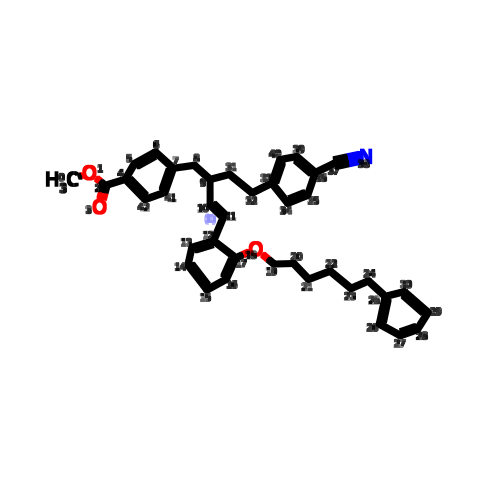 COC(=O)c1ccc(CC(/C=C/c2ccccc2OCCCCCCc2ccccc2)CCc2ccc(C#N)cc2)cc1